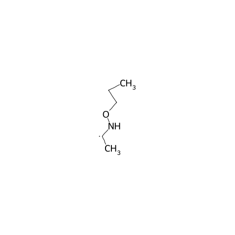 C[CH]NOCCC